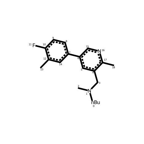 CCCCN(C)Cc1cc(-c2ccc(F)c(C)c2)cnc1C